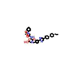 CCC[C@H]1CC[C@H](C2CC=C(c3cnc(-c4ccc(CN(CC(=O)O)C(=O)CNC(=O)CN(c5ccccc5)S(C)(=O)=O)cc4)nc3)CC2)CC1